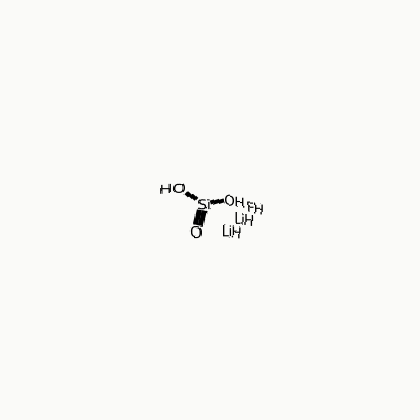 F.O=[Si](O)O.[LiH].[LiH]